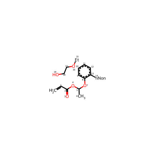 C=CC(=O)OC(C)Oc1ccccc1CCCCCCCCC.CCOCCO